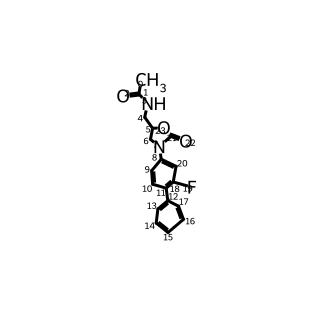 CC(=O)NCC1CN(c2ccc(-c3ccccc3)c(F)c2)C(=O)O1